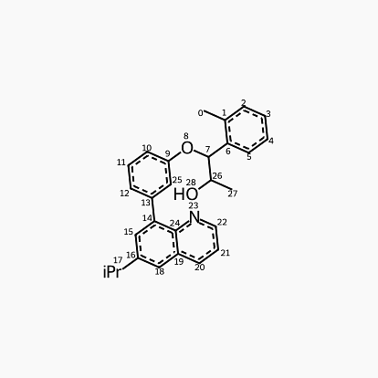 Cc1ccccc1C(Oc1cccc(-c2cc(C(C)C)cc3cccnc23)c1)C(C)O